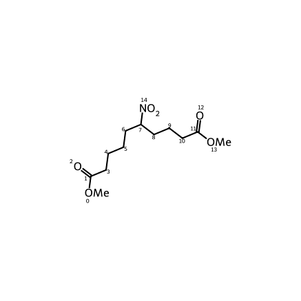 COC(=O)CCCCC(CCCC(=O)OC)[N+](=O)[O-]